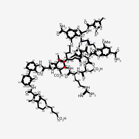 CCn1nc(C)cc1C(=O)Nc1nc2cc(C(N)=O)cc(OC)c2n1C/C=C/Cn1c(NC(=O)c2cc(C)nn2CC)nc2cc(C(N)=O)cc(OCCCNC(=O)[C@H](CC(=O)O)NC(=O)[C@H](CCCNC(=N)N)NC(=O)[C@H](CC(=O)O)NC(=O)[C@H](CC(=O)O)NC(=O)CCCN3CCc4[nH]c(C(=O)Nc5cccc(-c6cccc(NC(=O)c7nc8c(n7C)CCN(CCCC(=O)O)C8)c6Cl)c5Cl)nc4C3C)c21